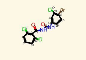 O=C(NC(=O)c1c(Cl)cccc1Cl)Nc1ccc(Br)c(Cl)c1